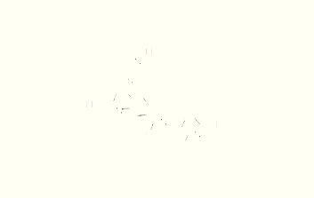 CCCc1cc(C)[nH]c(=O)c1CNC(=O)c1ccc2c(N3CCN(C)CC3)cc(C)nc2c1C